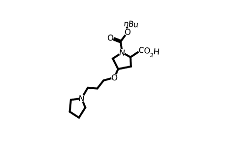 CCCCOC(=O)N1CC(OCCCN2CCCC2)CC1C(=O)O